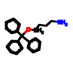 NCCC[SiH2]OC(c1ccccc1)(c1ccccc1)c1ccccc1